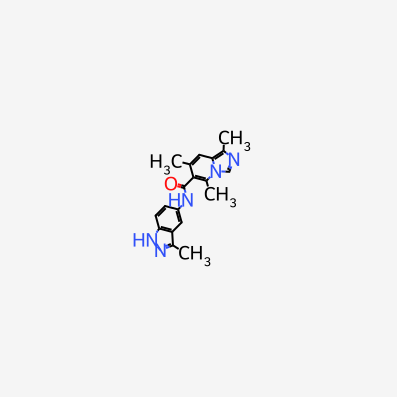 Cc1cc2c(C)ncn2c(C)c1C(=O)Nc1ccc2[nH]nc(C)c2c1